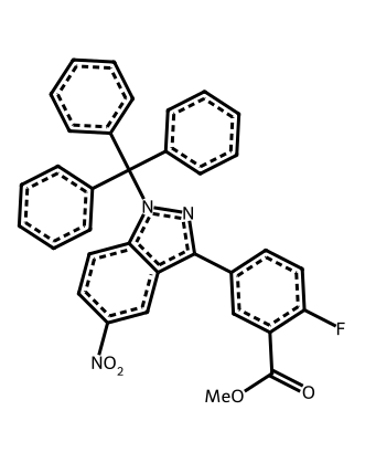 COC(=O)c1cc(-c2nn(C(c3ccccc3)(c3ccccc3)c3ccccc3)c3ccc([N+](=O)[O-])cc23)ccc1F